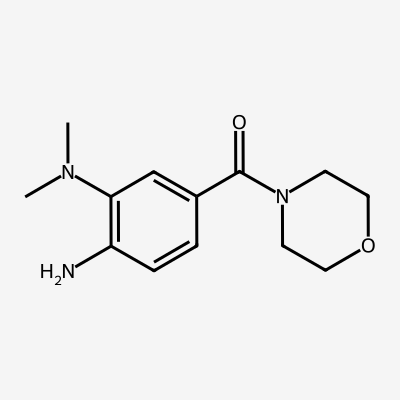 CN(C)c1cc(C(=O)N2CCOCC2)ccc1N